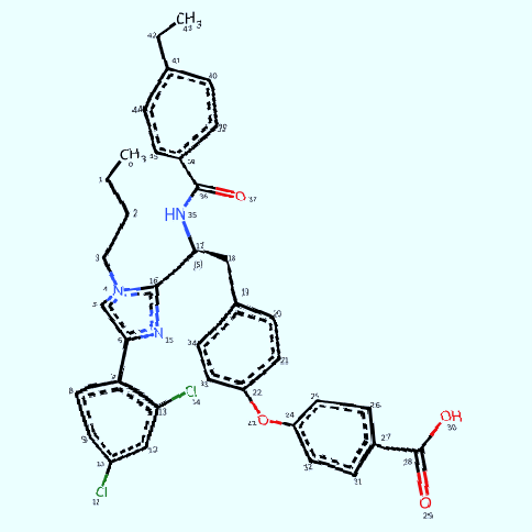 CCCCn1cc(-c2ccc(Cl)cc2Cl)nc1[C@H](Cc1ccc(Oc2ccc(C(=O)O)cc2)cc1)NC(=O)c1ccc(CC)cc1